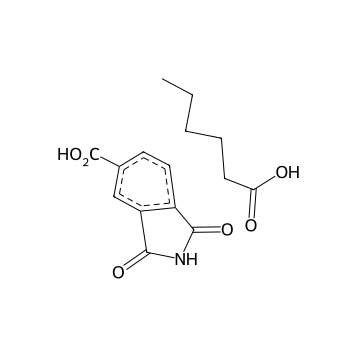 CCCCCC(=O)O.O=C(O)c1ccc2c(c1)C(=O)NC2=O